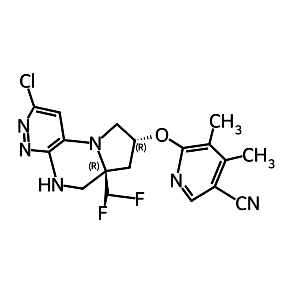 Cc1c(C#N)cnc(O[C@H]2CN3c4cc(Cl)nnc4NC[C@@]3(C(F)F)C2)c1C